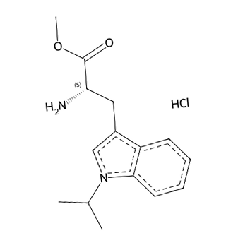 COC(=O)[C@@H](N)Cc1cn(C(C)C)c2ccccc12.Cl